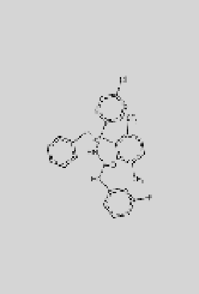 O=C(Nc1cccc(F)c1)N[C@@](Cc1ccccc1)(c1ccc(Cl)cn1)c1cc(C(F)(F)F)ccc1C(F)(F)F